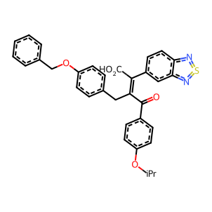 CC(C)Oc1ccc(C(=O)C(Cc2ccc(OCc3ccccc3)cc2)=C(C(=O)O)c2ccc3nsnc3c2)cc1